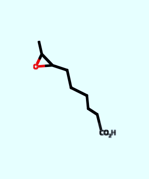 CC1OC1CCCCCC(=O)O